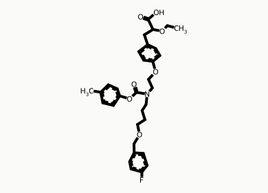 CCOC(Cc1ccc(OCCN(CCCCOCc2ccc(F)cc2)C(=O)Oc2ccc(C)cc2)cc1)C(=O)O